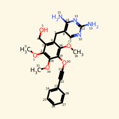 COc1c(CO)c(Cc2cnc(N)nc2N)c(OC)c(OC#Cc2ccccc2)c1OC